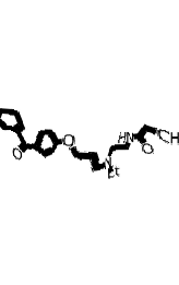 C=CC(=O)NCCN(CC)CCCOc1ccc(C(=O)c2ccccc2)cc1